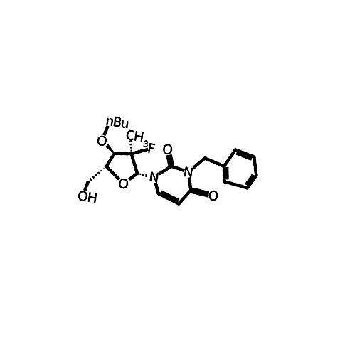 CCCCO[C@@H]1[C@@H](CO)O[C@@H](n2ccc(=O)n(Cc3ccccc3)c2=O)[C@]1(C)F